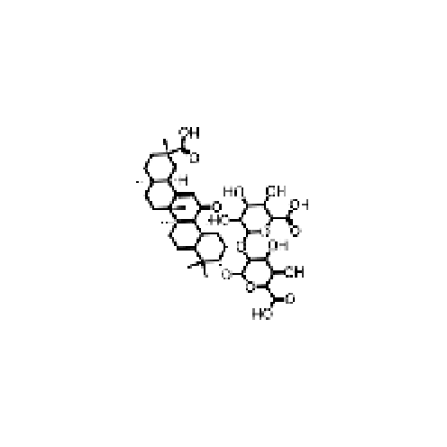 CC1(C)C2CC[C@]3(C)C(C(=O)C=C4[C@@H]5C[C@@](C)(C(=O)O)CC[C@]5(C)CC[C@]43C)[C@@]2(C)CC[C@@H]1OC1OC(C(=O)O)C(O)C(O)C1OC1OC(C(=O)O)C(O)C(O)C1O